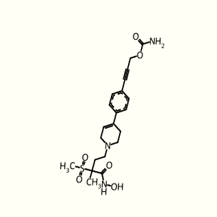 CC(CCN1CC=C(c2ccc(C#CCOC(N)=O)cc2)CC1)(C(=O)NO)S(C)(=O)=O